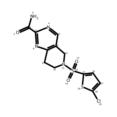 NC(=O)c1ncc2c(n1)CCN(S(=O)(=O)c1ccc(Cl)s1)C2